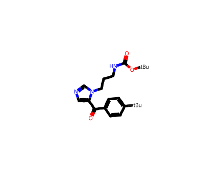 CC(C)(C)OC(=O)NCCCn1cncc1C(=O)c1ccc(C(C)(C)C)cc1